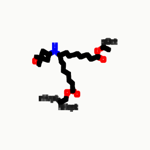 CCCCCCCCC(C)OC(=O)CCCCCCC(CCCCCCC(=O)OCC(CCCCCCC)CCCCCCC)NC1CC2(COC2)C1